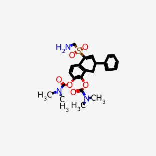 CN(C)C(=O)Oc1ccc2c(c1OC(=O)N(C)C)CC(c1ccccc1)C=C2S(=O)(=O)CN